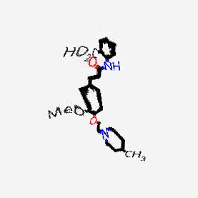 COc1cc(/C=C/C(=O)Nc2ccccc2C(=O)O)ccc1OCCN1CCC(C)CC1